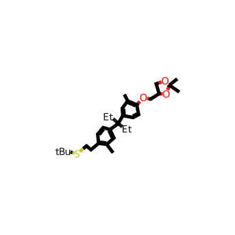 CCC(CC)(c1ccc(CCSC(C)(C)C)c(C)c1)c1ccc(OCC2COC(C)(C)O2)c(C)c1